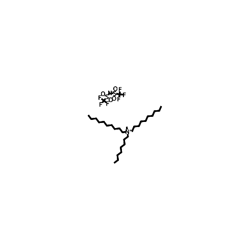 CCCCCCCCCC[N+](C)(CCCCCCCC)CCCCCCCCCC.O=S(=O)([N-]S(=O)(=O)C(F)(F)F)C(F)(F)F